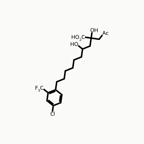 CC(=O)CC(O)(CC(O)CCCCCCc1ccc(Cl)cc1C(F)(F)F)C(=O)O